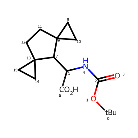 CC(C)(C)OC(=O)NC(C(=O)O)C1C2(CC2)CCC12CC2